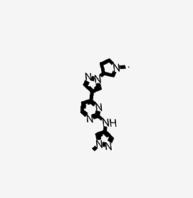 [CH2]N1CCC(n2cc(-c3ccnc(Nc4cnn(C)c4)n3)cn2)C1